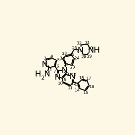 Nc1ncccc1-c1nc2ccc(-c3ccccc3)nc2n1-c1ccc(CN2CCNCC2)cc1